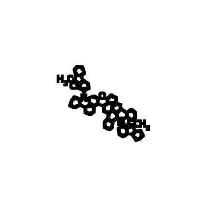 CC1(C)c2ccccc2-c2ccc(N(c3ccc4c(c3)Oc3cccc5c3c-4cc3c4ccccc4c(B(c4ccccc4-c4ccccc4)c4cccc6c4C(C)(C)c4ccccc4-6)cc53)c3ccccc3-c3ccccc3)cc21